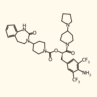 Nc1c(C(F)(F)F)cc(C[C@@H](OC(=O)N2CCC(N3CCc4ccccc4NC3=O)CC2)C(=O)N2CCC(N3CCCC3)CC2)cc1C(F)(F)F